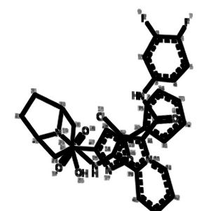 O=C(Nc1ccc(F)c(F)c1)c1c(Cl)c(NS(=O)(=O)N2C3CCC2CC(O)(c2cc(-c4ccccc4)on2)C3)c2ccccn12